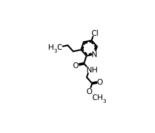 CCCc1cc(Cl)cnc1C(=O)NCC(=O)OC